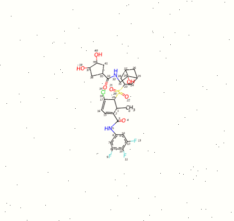 CC1C(C(=O)Nc2cc(F)c(F)c(F)c2)=CC=C(Cl)C1S(=O)(=O)C1CC2CC(C1)C2(O)CNC(=O)C1CC(O)C(O)C1